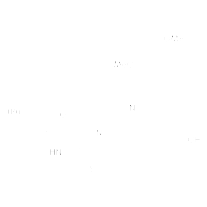 COc1ccc2c(O)cc(-c3csc(NC(=O)CC(C)(C)C)n3)nc2c1OC